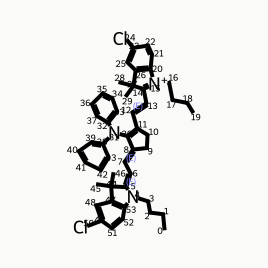 CCCCN1/C(=C/C=C2\CCC(/C=C/C3=[N+](CCCC)c4ccc(Cl)cc4C3(C)C)=C2N(c2ccccc2)c2ccccc2)C(C)(C)c2cc(Cl)ccc21